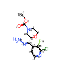 CC(C)(C)OC(=O)N1CCO[C@H](/C(=N\N)c2ccnc(Cl)c2F)C1